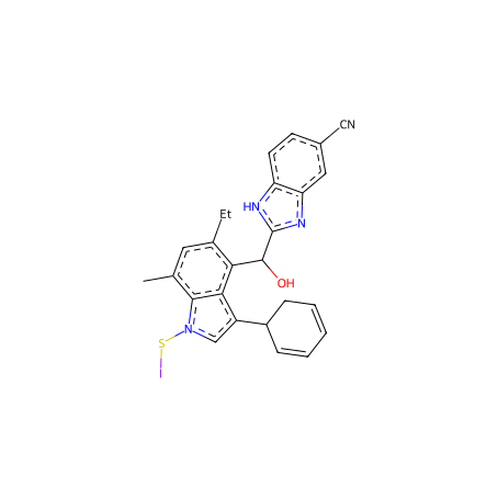 CCc1cc(C)c2c(c(C3C=CC=CC3)cn2SI)c1C(O)c1nc2cc(C#N)ccc2[nH]1